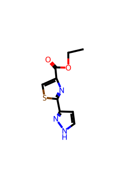 CCOC(=O)c1csc(-c2cc[nH]n2)n1